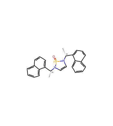 C[C@H](c1cccc2ccccc12)N1C=CN([C@H](C)c2cccc3ccccc23)[PH]1=O